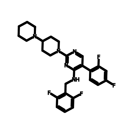 Fc1ccc(-c2cnc(N3CCC(N4CCCCC4)CC3)nc2NCc2c(F)cccc2F)c(F)c1